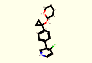 Clc1ccncc1-c1ccc(C2(OC3CCCCO3)CC2)cc1